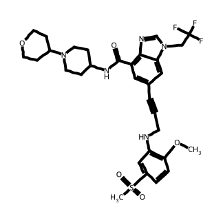 COc1ccc(S(C)(=O)=O)cc1NCC#Cc1cc(C(=O)NC2CCN(C3CCOCC3)CC2)c2ncn(CC(F)(F)F)c2c1